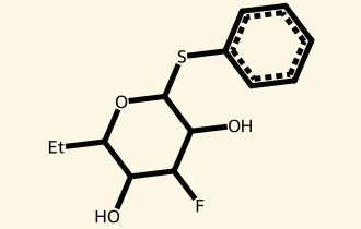 CCC1OC(Sc2ccccc2)C(O)C(F)C1O